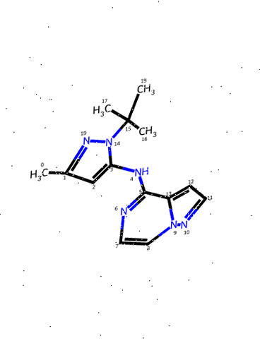 Cc1cc(Nc2nccn3nccc23)n(C(C)(C)C)n1